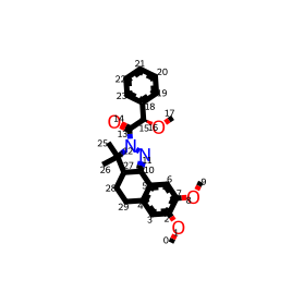 COc1cc2c(cc1OC)C1=NN(C(=O)[C@H](OC)c3ccccc3)C(C)(C)C1CC2